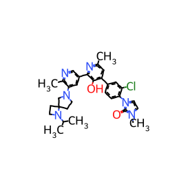 Cc1cc(-c2ccc(-n3ccn(C)c3=O)c(Cl)c2)c(O)c(-c2cnc(C)c(N3CCC4(CCN4C(C)C)C3)c2)n1